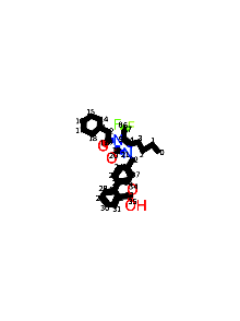 CCCCc1c(C(F)F)n(C(=O)CC2CCCCC2)c(=O)n1Cc1ccc(-c2ccccc2C(=O)O)cc1